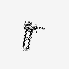 CCCCCCCCC=CCCCCCCCC(=O)OC(O)(C(O)(CCCOC(=O)CCCCCCCCCCCCCCC)CCC(=O)OC)C(O)(O)OP(=O)(O)O